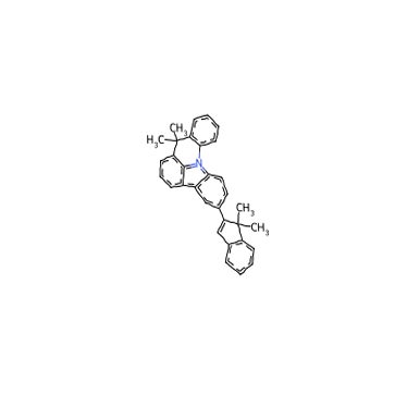 CC1(C)C(c2ccc3c(c2)c2cccc4c2n3-c2ccccc2C4(C)C)=Cc2ccccc21